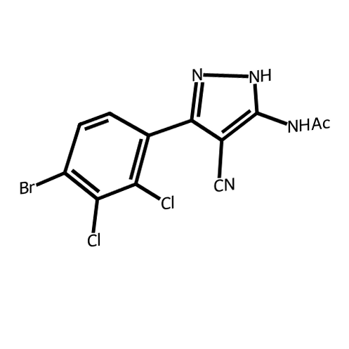 CC(=O)Nc1[nH]nc(-c2ccc(Br)c(Cl)c2Cl)c1C#N